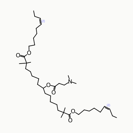 CC/C=C\CCCCCOC(=O)C(C)(C)CCCCCC(CCCCCC(C)(C)C(=O)OCCCCC/C=C\CC)OC(=O)CCN(C)C